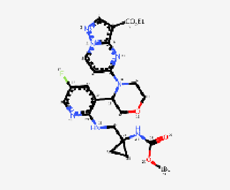 CCOC(=O)c1cnn2ccc(N3CCOCC3c3cc(F)cnc3NCC3(NC(=O)OC(C)(C)C)CC3)nc12